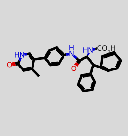 Cc1cc(=O)[nH]cc1-c1ccc(NC(=O)[C@@H](NC(=O)O)C(c2ccccc2)c2ccccc2)cc1